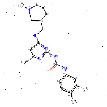 Cc1cc(NCC2CCCN(C)C2)nc(NC(=O)Nc2ccc(C)c(C)c2)n1